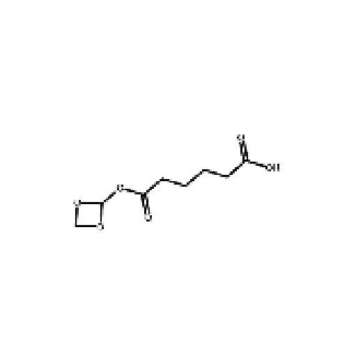 O=C(O)CCCCC(=O)OC1OCO1